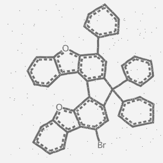 Brc1cc2c(c3oc4ccccc4c13)-c1c(cc(-c3ccccc3)c3oc4ccccc4c13)C2(c1ccccc1)c1ccccc1